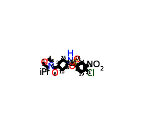 CC(C)C1COCCN1C(=O)C1CCC(NS(=O)(=O)c2ccc(Cl)c([N+](=O)[O-])c2)CC1